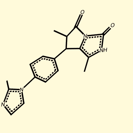 Cc1[nH]c(=O)n2c1C(c1ccc(-n3ccnc3C)cc1)C(C)C2=O